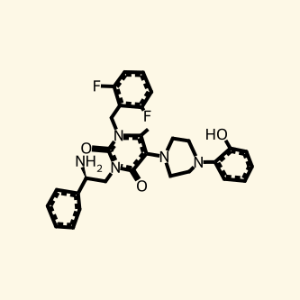 Cc1c(N2CCN(c3ccccc3O)CC2)c(=O)n(C[C@H](N)c2ccccc2)c(=O)n1Cc1c(F)cccc1F